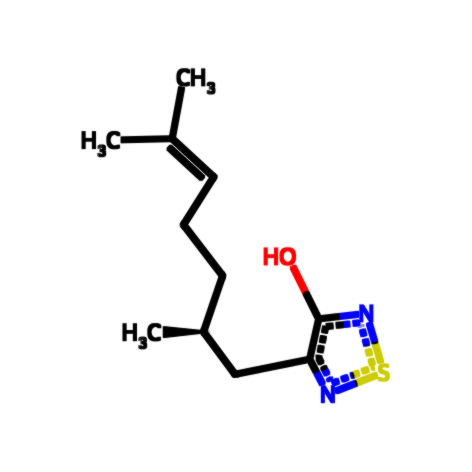 CC(C)=CCC[C@H](C)Cc1nsnc1O